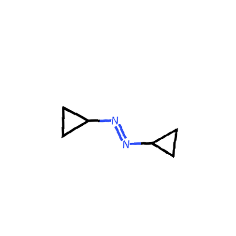 C1CC1N=NC1CC1